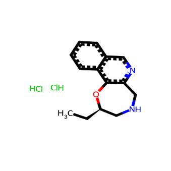 CC[C@@H]1CNCc2ncc3ccccc3c2O1.Cl.Cl